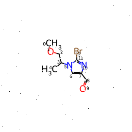 COCC(C)n1cc(C=O)nc1Br